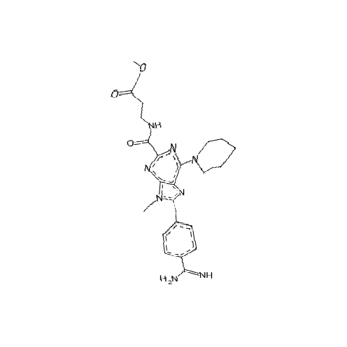 COC(=O)CCNC(=O)c1nc(N2CCCCC2)c2nc(-c3ccc(C(=N)N)cc3)n(C)c2n1